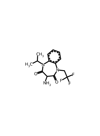 CC(C)N1C(=O)C(N)C(=O)N(CC(F)(F)F)c2ccccc21